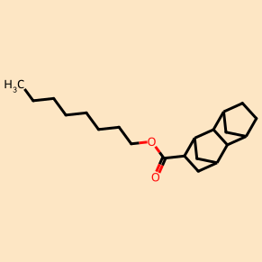 CCCCCCCCOC(=O)C1CC2CC1C1C3CCC(C3)C21